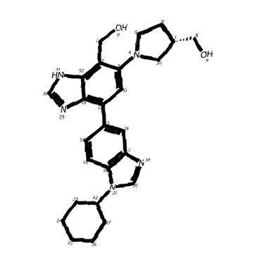 OCc1c(N2CC[C@H](CO)C2)cc(-c2ccc3c(c2)ncn3C2CCCCC2)c2nc[nH]c12